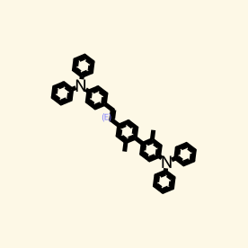 Cc1cc(/C=C/c2ccc(N(c3ccccc3)c3ccccc3)cc2)ccc1-c1ccc(N(c2ccccc2)c2ccccc2)cc1C